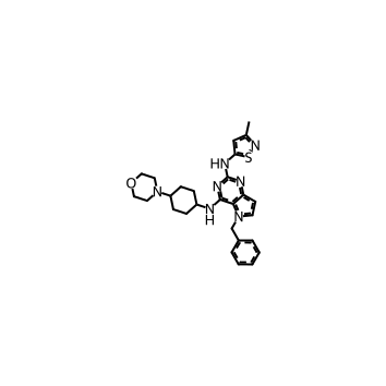 Cc1cc(Nc2nc(NC3CCC(N4CCOCC4)CC3)c3c(ccn3Cc3ccccc3)n2)sn1